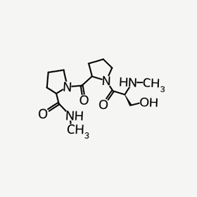 CNC(=O)C1CCCN1C(=O)C1CCCN1C(=O)[C@H](CO)NC